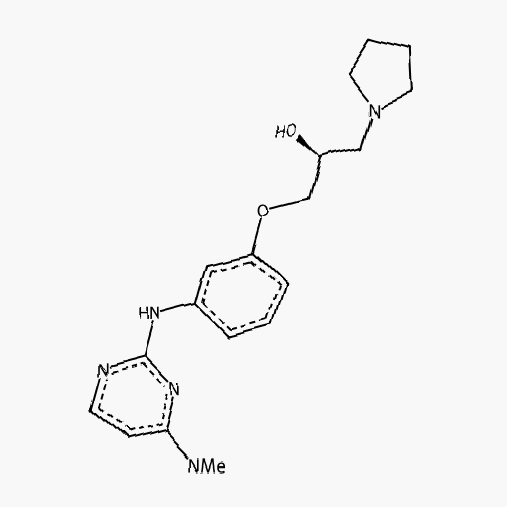 CNc1ccnc(Nc2cccc(OC[C@@H](O)CN3CCCC3)c2)n1